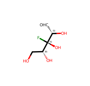 O=C[C@H](O)[C@@](O)(F)[C@H](O)CO